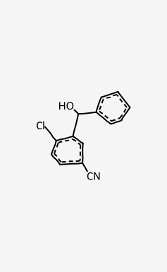 N#Cc1ccc(Cl)c(C(O)c2ccccc2)c1